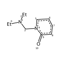 CCN(CC)Cn1ccccc1=O